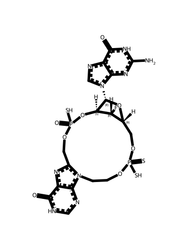 Nc1nc2c(ncn2[C@@H]2O[C@@H]3COP(=S)(S)OCCn4c(nc5c(=O)[nH]cnc54)COP(=O)(S)O[C@@H]2[C@@H]3F)c(=O)[nH]1